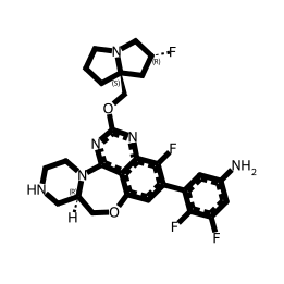 Nc1cc(F)c(F)c(-c2cc3c4c(nc(OC[C@@]56CCCN5C[C@H](F)C6)nc4c2F)N2CCNC[C@@H]2CO3)c1